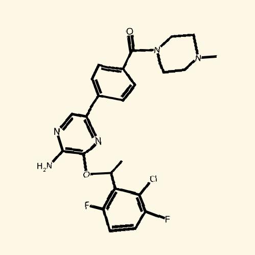 CC(Oc1nc(-c2ccc(C(=O)N3CCN(C)CC3)cc2)cnc1N)c1c(F)ccc(F)c1Cl